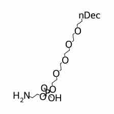 CCCCCCCCCCCCOCCOCCOCCOCCOP(=O)(O)OCCN